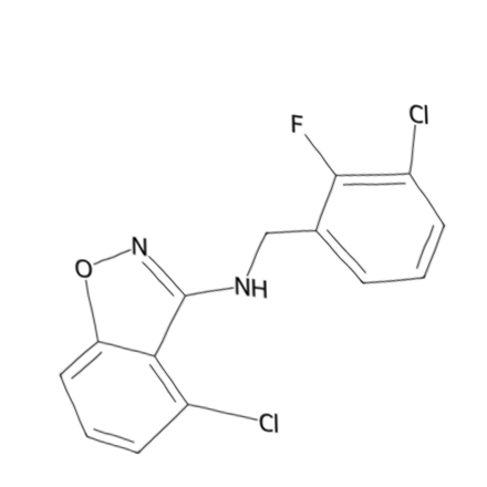 Fc1c(Cl)cccc1CNc1noc2cccc(Cl)c12